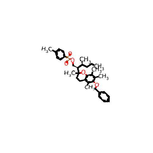 CCC[C@H](C)[C@H](COS(=O)(=O)c1ccc(C)cc1)C1(C)CCc2c(C)c(OCc3ccccc3)c(C)c(C)c2O1